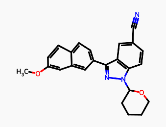 COc1ccc2ccc(-c3nn(C4CCCCO4)c4ccc(C#N)cc34)cc2c1